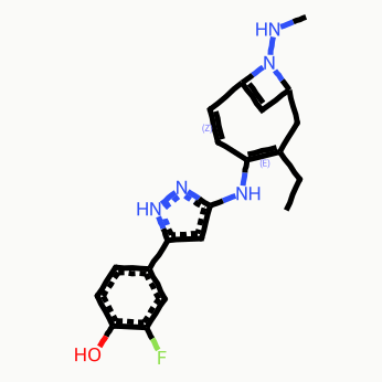 CC/C1=C(Nc2cc(-c3ccc(O)c(F)c3)[nH]n2)/C=C\C2=CC(C1)N2NC